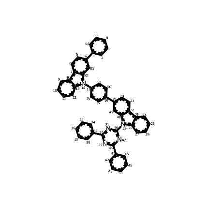 c1ccc(-c2ccc3c4ccccc4n(-c4ccc(-c5ccc6c7ccccc7n(-c7nc(-c8ccccc8)nc(-c8ccccc8)n7)c6c5)cc4)c3c2)cc1